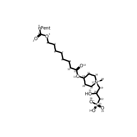 CCCCCC(=O)OCCCCCCCC(=O)OC1CC[N+](C)(CC(O)CS(=O)(=O)[O-])CC1